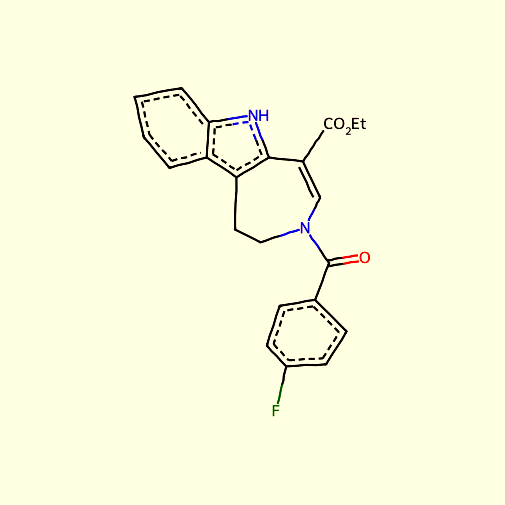 CCOC(=O)C1=CN(C(=O)c2ccc(F)cc2)CCc2c1[nH]c1ccccc21